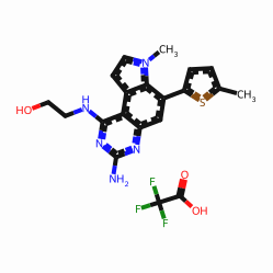 Cc1ccc(-c2cc3nc(N)nc(NCCO)c3c3ccn(C)c23)s1.O=C(O)C(F)(F)F